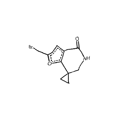 O=C1NCC2(CC2)c2oc(Br)cc21